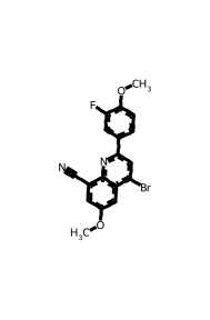 COc1cc(C#N)c2nc(-c3ccc(OC)c(F)c3)cc(Br)c2c1